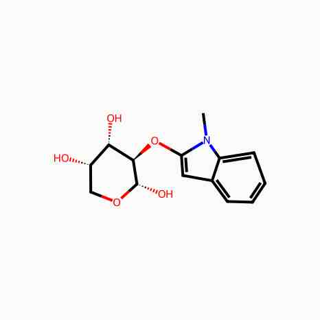 Cn1c(O[C@@H]2[C@@H](O)[C@@H](O)CO[C@H]2O)cc2ccccc21